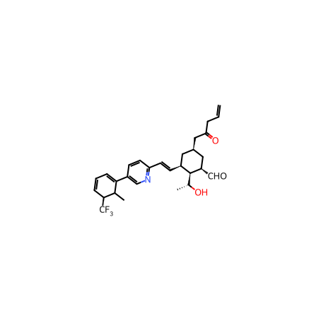 C=CCC(=O)C[C@H]1C[C@@H](C=O)[C@@H]([C@@H](C)O)[C@@H](/C=C/c2ccc(C3=CC=CC(C(F)(F)F)C3C)cn2)C1